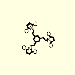 O=C1C=CC(=O)N1CCc1cc(CCN2C(=O)C=CC2=O)cc(CCN2C(=O)C=CC2=O)c1